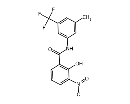 Cc1cc(NC(=O)c2cccc([N+](=O)[O-])c2O)cc(C(F)(F)F)c1